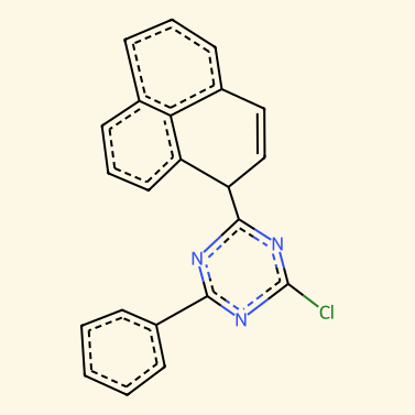 Clc1nc(-c2ccccc2)nc(C2C=Cc3cccc4cccc2c34)n1